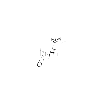 O=P(O)(O)CP(=O)(O)OC[C@H]1O[C@@H](c2cnc3c(N4Cc5ccccc5C4)nc(Cl)nn23)[C@H](O)[C@@H]1O